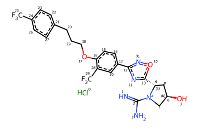 Cl.N=C(N)N1C[C@H](O)C[C@H]1c1nc(-c2ccc(OCCCc3ccc(C(F)(F)F)cc3)c(C(F)(F)F)c2)no1